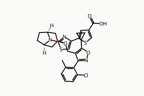 Cc1cccc(Cl)c1-c1noc(C2CC2)c1CO[C@H]1C[C@H]2CC[C@@H](C1)N2c1nc(-c2cc(C(=O)O)cs2)cs1